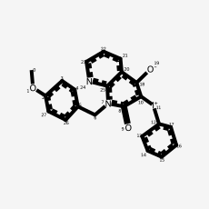 COc1ccc(Cn2c(=O)c([I+]c3ccccc3)c([O-])c3cccnc32)cc1